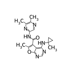 Cc1ncc(NC(=O)c2c(C)oc3ncnc(NC4(C)CC4)c23)nc1C